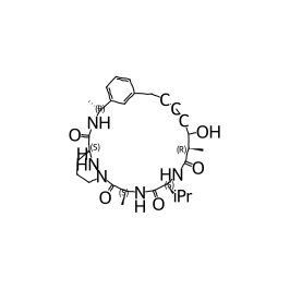 CC(C)[C@@H]1NC(=O)[C@H](C)C(O)CCCCc2cccc(c2)[C@@H](C)NC(=O)[C@@H]2CCCN(N2)C(=O)[C@H](C)NC1=O